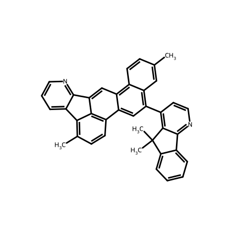 Cc1ccc2c(c1)c(-c1ccnc3c1C(C)(C)c1ccccc1-3)cc1c3ccc(C)c4c3c(cc21)-c1ncccc1-4